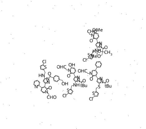 CC(C)(C)C(=O)n1nc(-c2cc(-c3ccccc3)cn(CC=O)c2=O)cc1SCc1ccc(Cl)s1.CC(C)(C)C(=O)n1nc(-c2ccc(O)n(CC=O)c2=O)cc1NCc1ccc(Cl)s1.COCC(C)(C)C(=O)n1nc(-c2ccc(OC)n(CC=O)c2=O)cc1NCc1ccc(Cl)s1.O=CCn1ccc(-c2ccccn2)c(-c2cc(NCc3ccc(Cl)s3)n(C(=O)c3ccc(CO)cc3)n2)c1=O